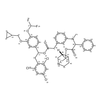 CN(c1cccc(CC(=O)OC(Cc2c(Cl)c[n+]([O-])cc2Cl)c2ccc(OC(F)F)c(OCC3CC3)c2)c1)C(C(=O)O[C@H]1CN2CCC1CC2)c1ccccc1